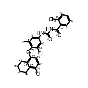 Cc1cc(NC(=O)NC(=O)c2ccccc2Cl)cc(Cl)c1Oc1ccc(Cl)c2c1CCCC2